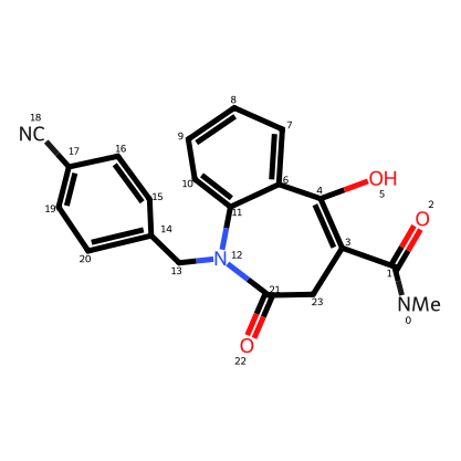 CNC(=O)C1=C(O)c2ccccc2N(Cc2ccc(C#N)cc2)C(=O)C1